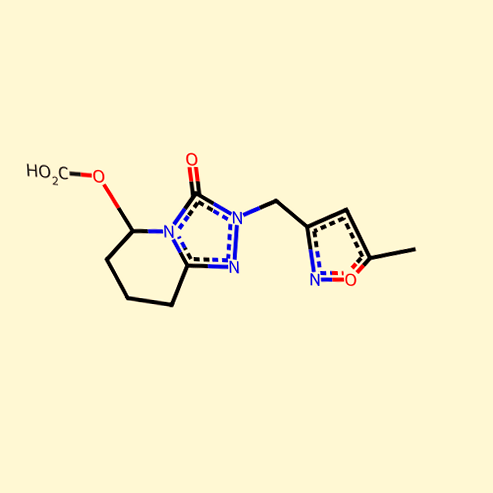 Cc1cc(Cn2nc3n(c2=O)C(OC(=O)O)CCC3)no1